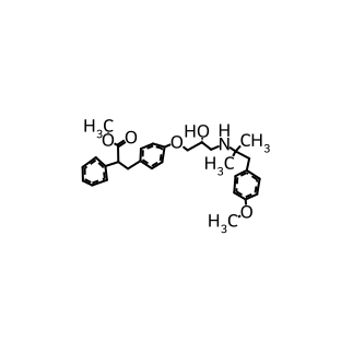 COC(=O)C(Cc1ccc(OC[C@H](O)CNC(C)(C)Cc2ccc(OC)cc2)cc1)c1ccccc1